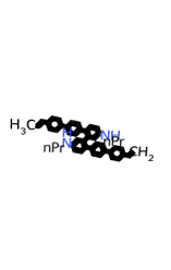 C=CC1CCC(c2ccc(-c3ccc(NCCC)cc3-c3cc(NCCC)ccc3-c3ccc(C4CCC(/C=C/C)CC4)cc3)cc2)CC1